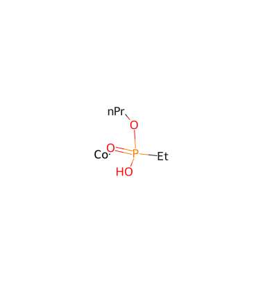 CCCOP(=O)(O)CC.[Co]